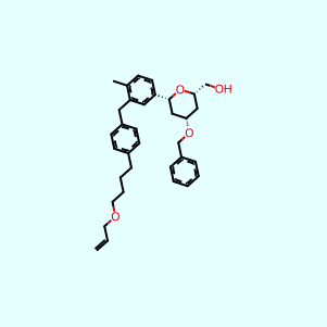 C=CCOCCCCc1ccc(Cc2cc([C@H]3C[C@@H](OCc4ccccc4)C[C@@H](CO)O3)ccc2C)cc1